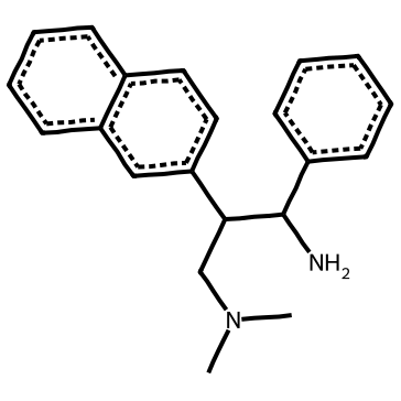 CN(C)CC(c1ccc2ccccc2c1)C(N)c1ccccc1